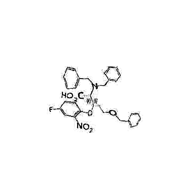 O=C(O)[C@@H]([C@H](CCOCc1ccccc1)Oc1ccc(F)cc1[N+](=O)[O-])N(Cc1ccccc1)Cc1ccccc1